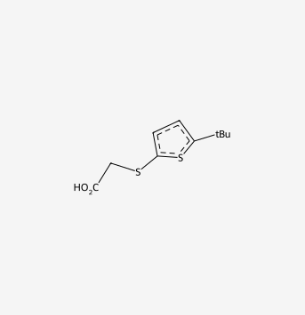 CC(C)(C)c1ccc(SCC(=O)O)s1